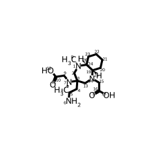 CN1CC(CCN)(N(C)CC(=O)O)CN(CC(=O)O)[C@H]2CCCC[C@@H]21